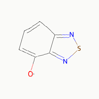 [O]c1cccc2nsnc12